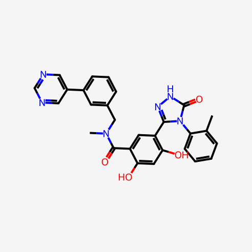 Cc1ccccc1-n1c(-c2cc(C(=O)N(C)Cc3cccc(-c4cncnc4)c3)c(O)cc2O)n[nH]c1=O